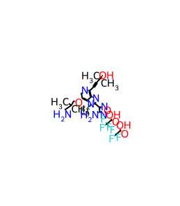 CCn1c(-c2nonc2N)nc2c(C#CC(C)(C)O)ncc(OCC(C)(C)CN)c21.O=C(O)C(F)(F)F.O=C(O)C(F)(F)F